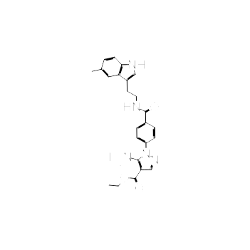 CCOC(=O)c1cnn(-c2ccc(C(=O)NCCc3c[nH]c4ccc(C)cc34)cc2)c1N